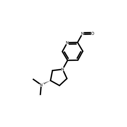 CN(C)[C@H]1CCN(c2ccc(N=O)nc2)C1